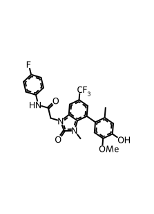 COc1cc(-c2cc(C(F)(F)F)cc3c2n(C)c(=O)n3CC(=O)Nc2ccc(F)cc2)c(C)cc1O